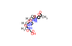 Cc1cc(=O)oc2cc(NC(=O)[C@@H](NC(=O)[C@@H]3CCCN3C(=O)[C@H](C)NC(=O)[C@H](C)NC(=O)CCC(=O)O)C(C)C)ccc12